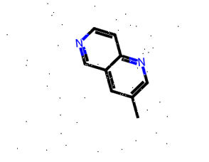 Cc1cnc2ccncc2c1